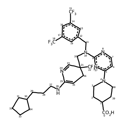 O=C(O)C1CCN(c2ccnc(N(Cc3cc(C(F)(F)F)cc(C(F)(F)F)c3)CC3(C(F)(F)F)C=NC(NCCCC4CCCC4)=CC3)n2)CC1